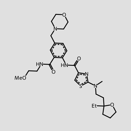 CCC1(CCN(C)c2nc(C(=O)Nc3ccc(CN4CCOCC4)cc3C(=O)NCCOC)cs2)CCCO1